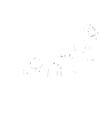 CCCCON=C(C(=O)NC1C(=O)N2C(C(=O)O)=C(CSc3nnnn3C)CS[C@@H]12)c1cccc(N)n1